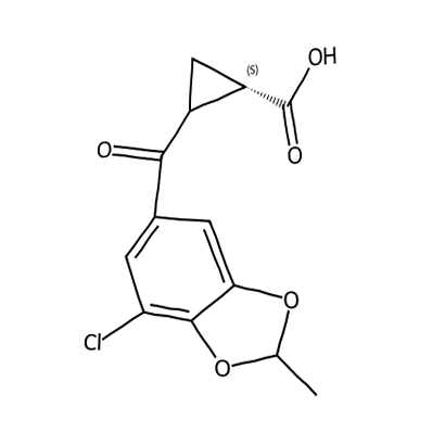 CC1Oc2cc(C(=O)C3C[C@@H]3C(=O)O)cc(Cl)c2O1